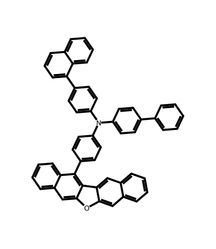 c1ccc(-c2ccc(N(c3ccc(-c4cccc5ccccc45)cc3)c3ccc(-c4c5ccccc5cc5oc6cc7ccccc7cc6c45)cc3)cc2)cc1